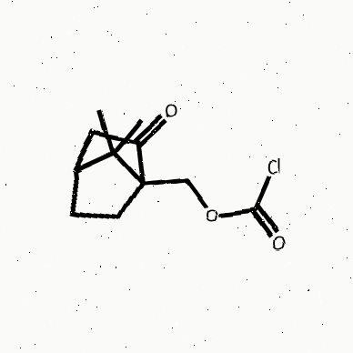 CC1(C)C2CCC1(COC(=O)Cl)C(=O)C2